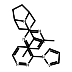 Cc1cc(C)nc(N2C3CCC2CN(C(=O)c2ccnnc2-n2cccn2)C3)n1